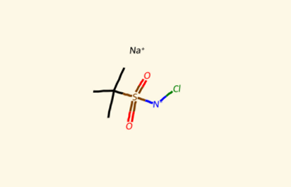 CC(C)(C)S(=O)(=O)[N-]Cl.[Na+]